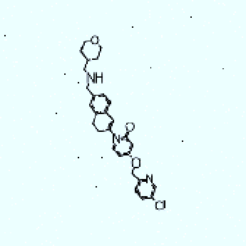 O=c1cc(OCc2ccc(Cl)cn2)ccn1C1=Cc2ccc(CNCC3CCOCC3)cc2CC1